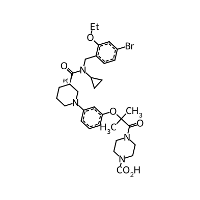 CCOc1cc(Br)ccc1CN(C(=O)[C@@H]1CCCN(c2cccc(OC(C)(C)C(=O)N3CCN(C(=O)O)CC3)c2)C1)C1CC1